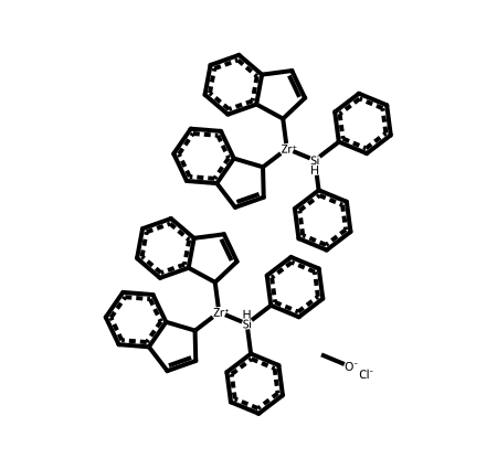 C1=C[CH]([Zr+]([CH]2C=Cc3ccccc32)[SiH](c2ccccc2)c2ccccc2)c2ccccc21.C1=C[CH]([Zr+]([CH]2C=Cc3ccccc32)[SiH](c2ccccc2)c2ccccc2)c2ccccc21.C[O-].[Cl-]